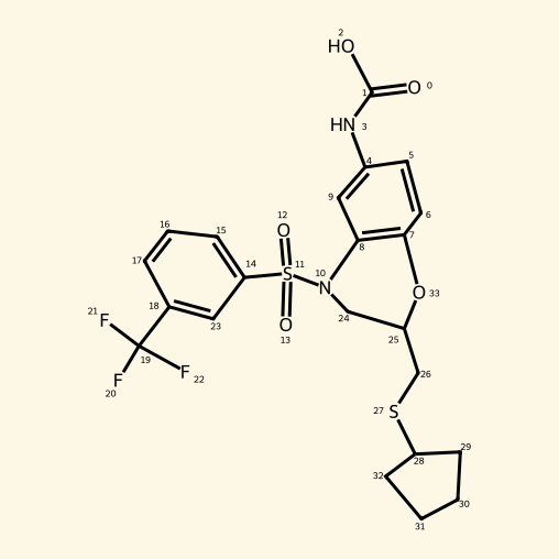 O=C(O)Nc1ccc2c(c1)N(S(=O)(=O)c1cccc(C(F)(F)F)c1)CC(CSC1CCCC1)O2